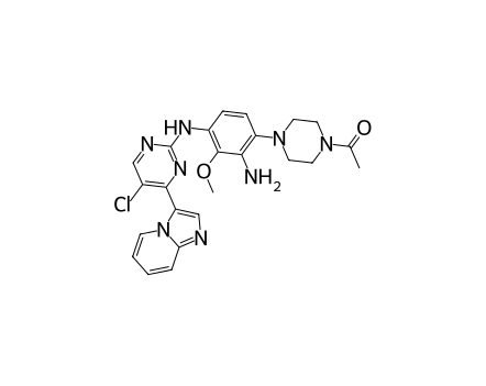 COc1c(Nc2ncc(Cl)c(-c3cnc4ccccn34)n2)ccc(N2CCN(C(C)=O)CC2)c1N